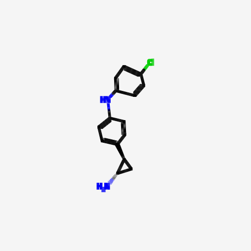 N[C@H]1C[C@@H]1c1ccc(Nc2ccc(Cl)cc2)cc1